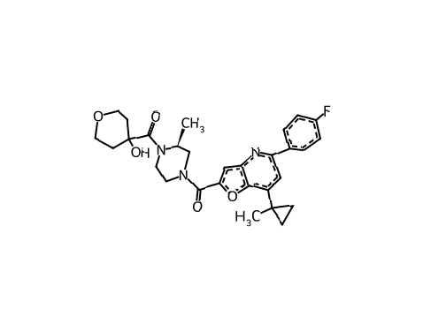 C[C@H]1CN(C(=O)c2cc3nc(-c4ccc(F)cc4)cc(C4(C)CC4)c3o2)CCN1C(=O)C1(O)CCOCC1